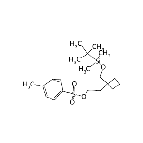 Cc1ccc(S(=O)(=O)OCCC2(CO[Si](C)(C)C(C)(C)C)CCC2)cc1